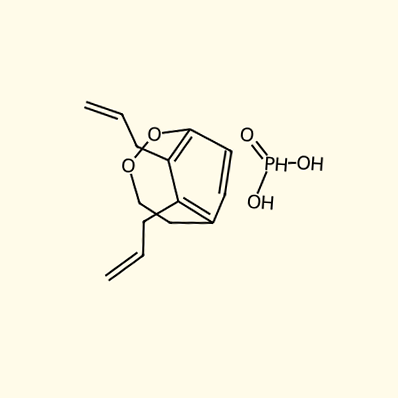 C=CCc1c2ccc(c1CC=C)OOCC2.O=[PH](O)O